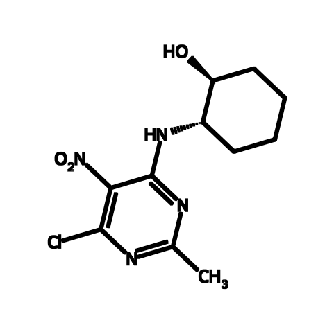 Cc1nc(Cl)c([N+](=O)[O-])c(N[C@H]2CCCC[C@@H]2O)n1